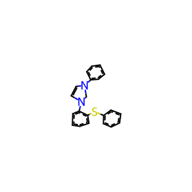 C1=CN(c2ccccc2Sc2ccccc2)CN1c1ccccc1